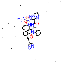 C[C@H](NC(=O)c1c(NS(N)(=O)=O)nn2cccnc12)c1c2c3c(ccc(C#Cc4cnn(C)c4)c3c(=O)n1-c1ccccc1)CCCC2